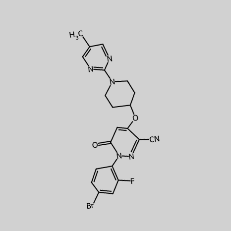 Cc1cnc(N2CCC(Oc3cc(=O)n(-c4ccc(Br)cc4F)nc3C#N)CC2)nc1